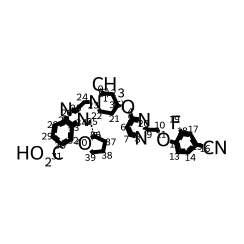 C[C@H]1C[C@@H](Oc2ccnc(COc3ccc(C#N)cc3F)n2)CCN1Cc1nc2ccc(C(=O)O)cc2n1C[C@@H]1CCCO1